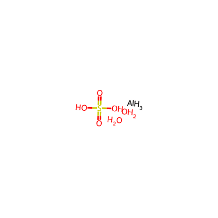 O.O.O=S(=O)(O)O.[AlH3]